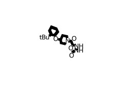 CC(C)(C)c1ccccc1OC1CCN(C(=O)C2NNC(=O)O2)CC1